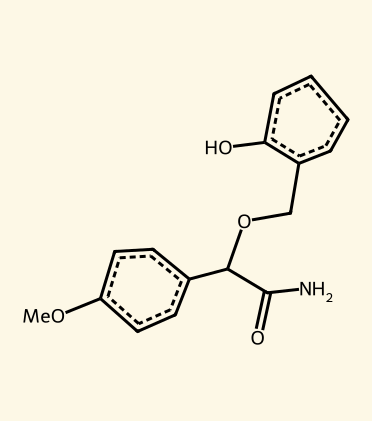 COc1ccc(C(OCc2ccccc2O)C(N)=O)cc1